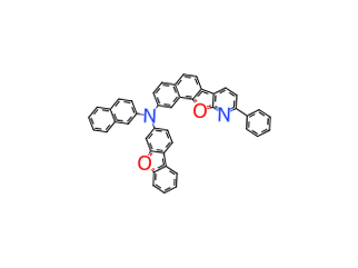 c1ccc(-c2ccc3c(n2)oc2c4cc(N(c5ccc6ccccc6c5)c5ccc6c(c5)oc5ccccc56)ccc4ccc32)cc1